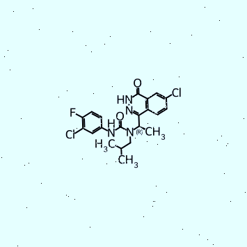 CC(C)CN(C(=O)Nc1ccc(F)c(Cl)c1)[C@H](C)c1n[nH]c(=O)c2cc(Cl)ccc12